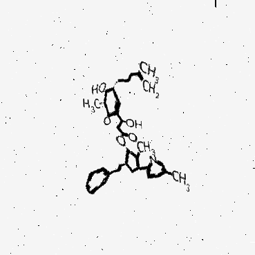 C=C(C)CCC[C@@H]1C=C([C@@H](O)CC(=O)O[C@@H]2C(C)=C(c3ccc(C)cn3)C[C@H]2/C=C/c2ccccc2)C(=O)[C@H](C)[C@H]1O